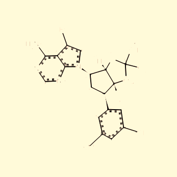 Cc1cc(Cl)cc([C@H]2C[C@@H](n3cc(Br)c4c(N)ncnc43)[C@@H]3OC(C)(C)O[C@@H]32)c1